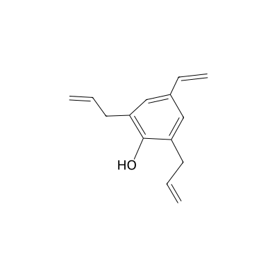 C=CCc1cc(C=C)cc(CC=C)c1O